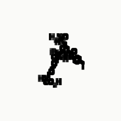 CC(C)[C@H](NC(=O)COCCOCCNC(=O)O)C(=O)N[C@@H](CCCNC(N)=O)C(=O)Nc1ccc(CI)cc1